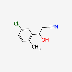 Cc1ccc(Cl)cc1C(O)CC#N